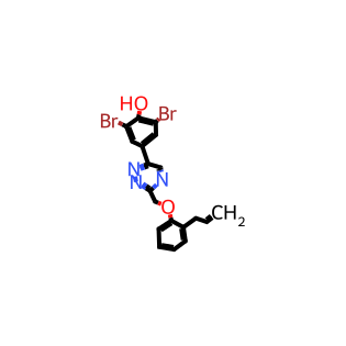 C=CCc1ccccc1OCc1ncc(-c2cc(Br)c(O)c(Br)c2)nn1